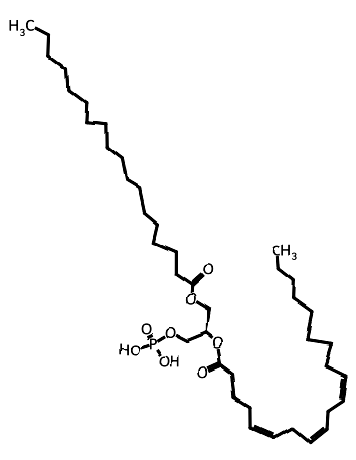 CCCCCCCC/C=C\C/C=C\C/C=C\CCCC(=O)O[C@H](COC(=O)CCCCCCCCCCCCCCCCC)COP(=O)(O)O